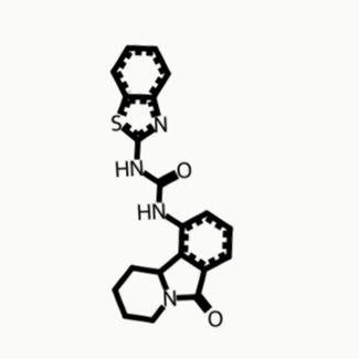 O=C(Nc1nc2ccccc2s1)Nc1cccc2c1C1CCCCN1C2=O